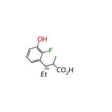 CC[C@H](c1cccc(O)c1F)C(C)C(=O)O